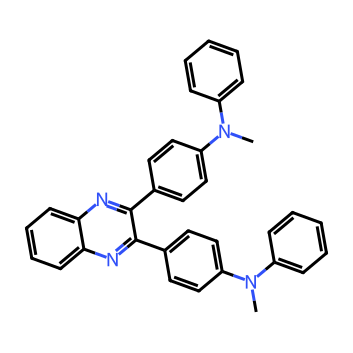 CN(c1ccccc1)c1ccc(-c2nc3ccccc3nc2-c2ccc(N(C)c3ccccc3)cc2)cc1